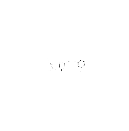 CCON=C(CO)CC1=CCC(CCSc2cc(Cl)cc(Cl)c2)CC1=O